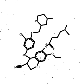 CCOc1cc2c(cc1NC(=O)CCCN(C)C)C(Nc1ccc(OCC3CC(C)CCN3)c(Cl)c1)C(C#N)CN2